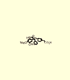 COc1cc2c(cc1OC)/C(=C(/Nc1ccc(CC(=O)O)cc1)c1ccccc1)C(=O)N2